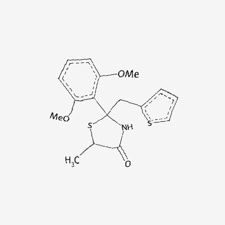 COc1cccc(OC)c1C1(Cc2cccs2)NC(=O)C(C)S1